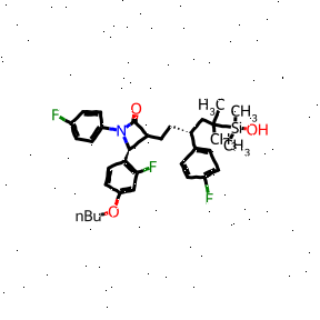 CCCCOc1ccc([C@@H]2C(CC[C@H](CC(C)(C)[Si](C)(C)O)c3ccc(F)cc3)C(=O)N2c2ccc(F)cc2)c(F)c1